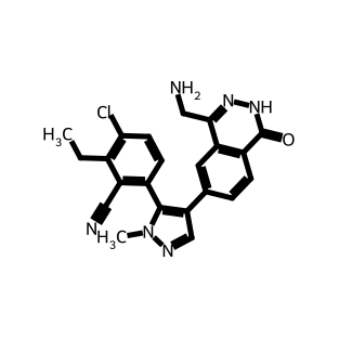 CCc1c(Cl)ccc(-c2c(-c3ccc4c(=O)[nH]nc(CN)c4c3)cnn2C)c1C#N